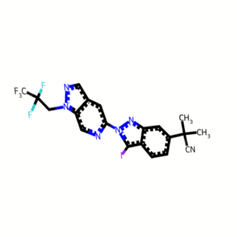 CC(C)(C#N)c1ccc2c(I)n(-c3cc4cnn(CC(F)(F)C(F)(F)F)c4cn3)nc2c1